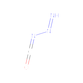 N=NN=C=O